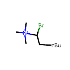 CCCCCC(Br)[N+](C)(C)C